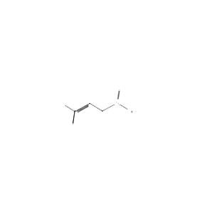 CCCCN(CC=C(C)C)C(=O)OCC